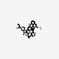 C=CC(=O)N1CCN(c2c(S(C)(=O)=O)c(=O)n(-c3c(C4CC4)ncnc3C3CC3)c3c(F)c(-c4nc(N)cc5ccccc45)c(Cl)cc23)CC1